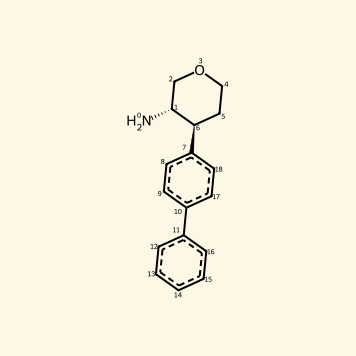 N[C@@H]1COCC[C@H]1c1ccc(-c2ccccc2)cc1